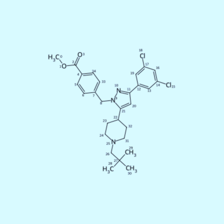 COC(=O)c1ccc(Cn2nc(-c3cc(Cl)cc(Cl)c3)cc2C2CCN(CC(C)(C)C)CC2)cc1